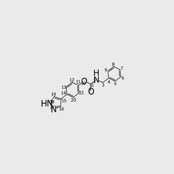 O=C(NCc1ccccc1)Oc1ccc(-c2cn[nH]c2)cc1